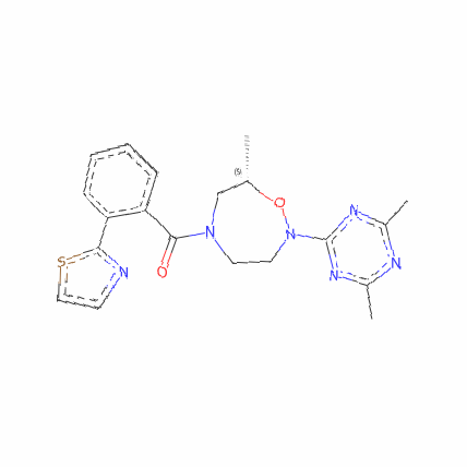 Cc1nc(C)nc(N2CCN(C(=O)c3ccccc3-c3nccs3)C[C@H](C)O2)n1